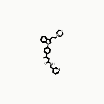 CC(=CC(=O)NCc1cccnc1)c1ccc(-n2cc(CCN3CCOCC3)c3ccccc32)cc1